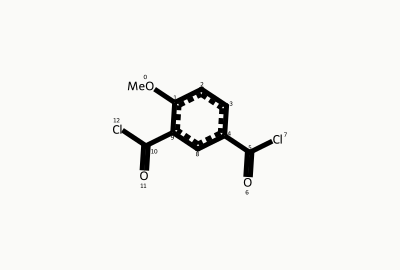 COc1ccc(C(=O)Cl)cc1C(=O)Cl